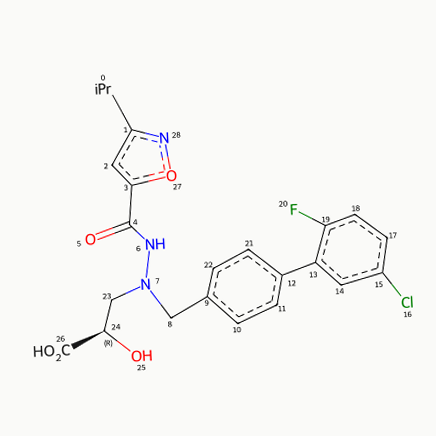 CC(C)c1cc(C(=O)NN(Cc2ccc(-c3cc(Cl)ccc3F)cc2)C[C@@H](O)C(=O)O)on1